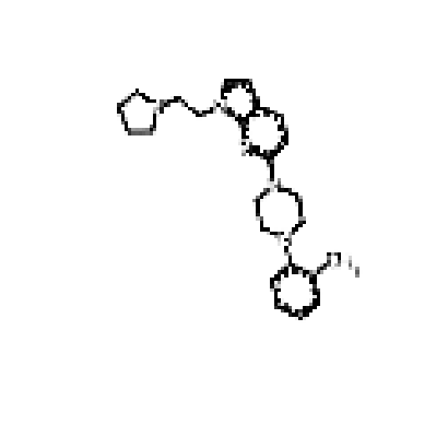 Cc1ccccc1N1CCN(c2ccc3ccn(CCN4CCCC4)c3n2)CC1